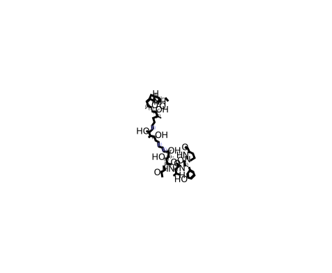 CC[C@H]1C[C@@H]2CC3=C[C@@H](C)[C@H](C[C@H](O)[C@@H](C)CC/C=C/C(O)C(C)[C@@H](O)C/C=C/C=C/[C@H](O)[C@H](C)[C@@H](O)[C@@H](CCC(C)=O)C(=O)N[C@H](C(=O)N[C@@H](Cc4cccc(O)c4)C(=O)N4CCCC(C=O)N4)C(C)C)O[C@@]32NC1=O